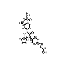 CS(=O)(=O)c1ccc([C@@H](CC2CCCC2)C(=O)Nc2cnc(NCCO)cn2)cc1Cl